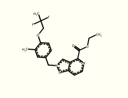 CCOC(=O)c1nccc2nn(Cc3ccc(OCC(C)(F)F)c(C)c3)cc12